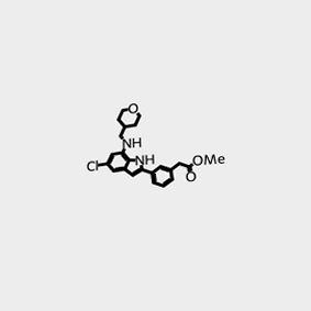 COC(=O)Cc1cccc(-c2cc3cc(Cl)cc(NCC4CCOCC4)c3[nH]2)c1